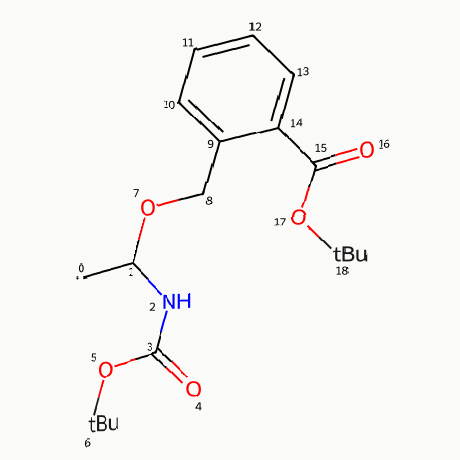 [CH2]C(NC(=O)OC(C)(C)C)OCc1ccccc1C(=O)OC(C)(C)C